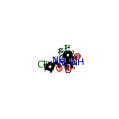 CN(C(=O)[C@@H](N)c1cccc(Cl)c1)[C@H]1COCc2[nH]c(=O)c3cc(F)c(F)cc3c21